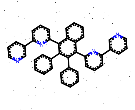 c1ccc(-c2c(-c3ccccc3)c(-c3cccc(-c4cccnc4)n3)c3ccccc3c2-c2cccc(-c3cccnc3)n2)cc1